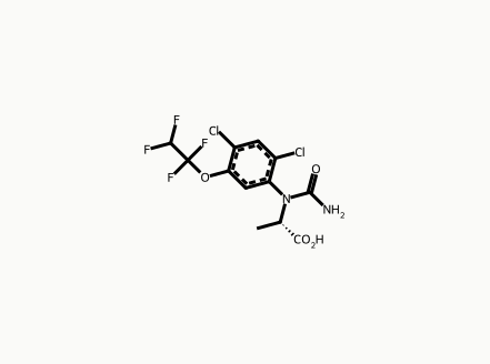 C[C@@H](C(=O)O)N(C(N)=O)c1cc(OC(F)(F)C(F)F)c(Cl)cc1Cl